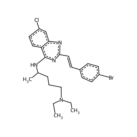 CCN(CC)CCCC(C)Nc1nc(C=Cc2ccc(Br)cc2)nc2cc(Cl)ccc12